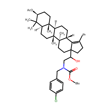 CC(=O)O[C@H]1CC[C@]2(C)[C@H]3CC[C@@H]4C5=C(C(C)C)CCC5(C(O)CN(Cc5ccc(Cl)cc5)C(=O)OC(C)(C)C)CC[C@@]4(C)[C@]3(C)CC[C@H]2C1(C)C